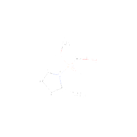 CCCOP(=O)(CO)N1CCC[C@H]1C=O